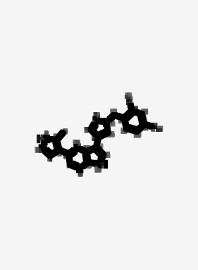 Cc1[nH]ncc1-c1cnc2[nH]cc(-c3cnn(Cc4ccc(F)cc4F)c3)c2n1